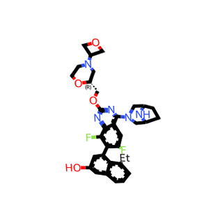 CCc1cccc2cc(O)cc(-c3c(F)cc4c(N5CC6CCC(C5)N6)nc(OC[C@H]5CN(C6COC6)CCO5)nc4c3F)c12